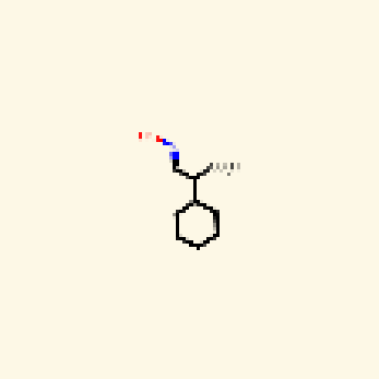 O=C(O)C(C=NO)C1CCCCC1